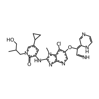 CC(CO)Cn1cc(C2CC2)cc(Nc2nc3ncc(O/C(C=N)=C4\C=NC=CN4)c(Cl)c3n2C)c1=O